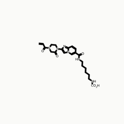 C=CC(=O)N1CCN(c2cn3cc(C(=O)NCCCCCCNC(=O)O)ccc3n2)C(=O)C1